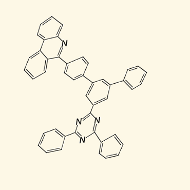 c1ccc(-c2cc(-c3ccc(-c4nc5ccccc5c5ccccc45)cc3)cc(-c3nc(-c4ccccc4)nc(-c4ccccc4)n3)c2)cc1